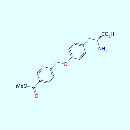 COC(=O)c1ccc(COc2ccc(C[C@H](N)C(=O)O)cc2)cc1